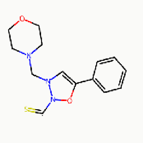 S=[C]N1OC(c2ccccc2)=CN1CN1CCOCC1